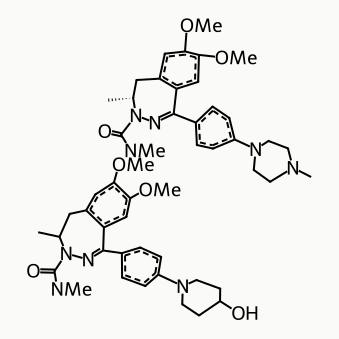 CNC(=O)N1N=C(c2ccc(N3CCC(O)CC3)cc2)c2cc(OC)c(OC)cc2CC1C.CNC(=O)N1N=C(c2ccc(N3CCN(C)CC3)cc2)c2cc(OC)c(OC)cc2C[C@H]1C